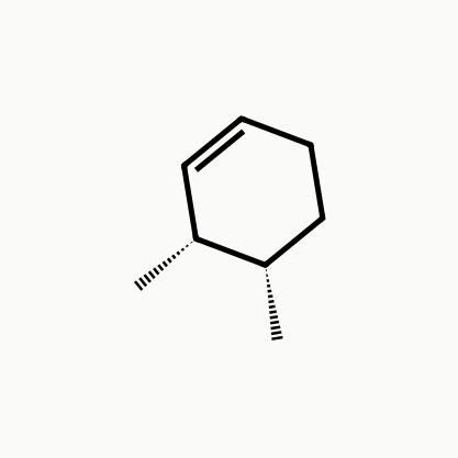 C[C@@H]1C=CCC[C@@H]1C